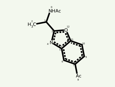 CC(=O)NC(C)c1nc2cc(C(C)=O)ccc2o1